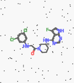 O=C(CNc1cc(Cl)cc(Cl)c1)N1CCC[C@@H](Nc2ncnc3[nH]cc(F)c23)C1